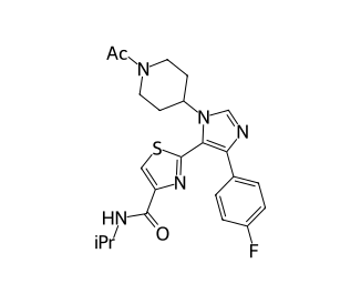 CC(=O)N1CCC(n2cnc(-c3ccc(F)cc3)c2-c2nc(C(=O)NC(C)C)cs2)CC1